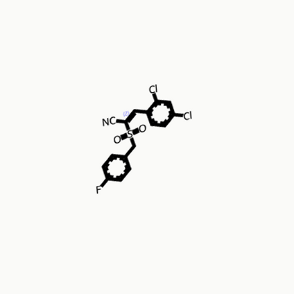 N#C/C(=C/c1ccc(Cl)cc1Cl)S(=O)(=O)Cc1ccc(F)cc1